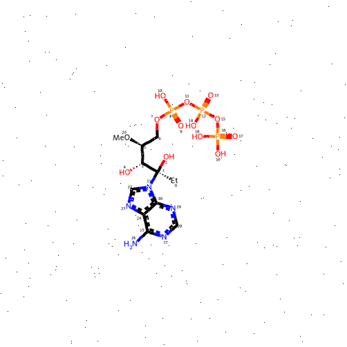 CC[C@@](O)([C@H](O)[C@H](COP(=O)(O)OP(=O)(O)OP(=O)(O)O)OC)n1cnc2c(N)ncnc21